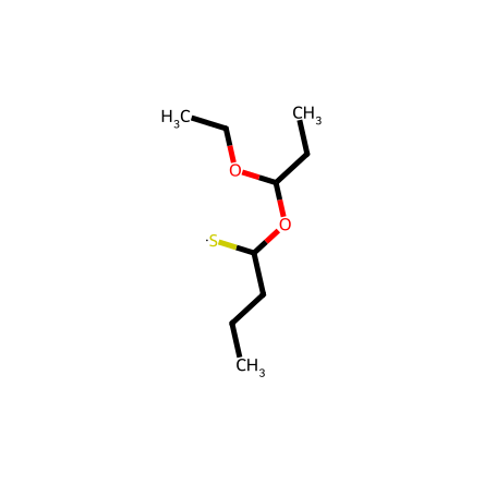 CCCC([S])OC(CC)OCC